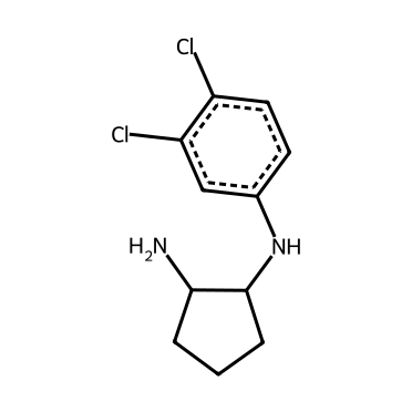 NC1CCCC1Nc1ccc(Cl)c(Cl)c1